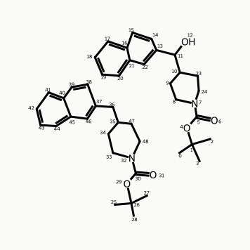 CC(C)(C)OC(=O)N1CCC(C(O)c2ccc3ccccc3c2)CC1.CC(C)(C)OC(=O)N1CCC(Cc2ccc3ccccc3c2)CC1